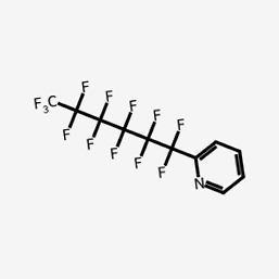 FC(F)(F)C(F)(F)C(F)(F)C(F)(F)C(F)(F)C(F)(F)c1ccccn1